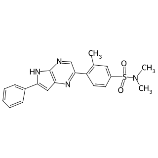 Cc1cc(S(=O)(=O)N(C)C)ccc1-c1cnc2[nH]c(-c3ccccc3)cc2n1